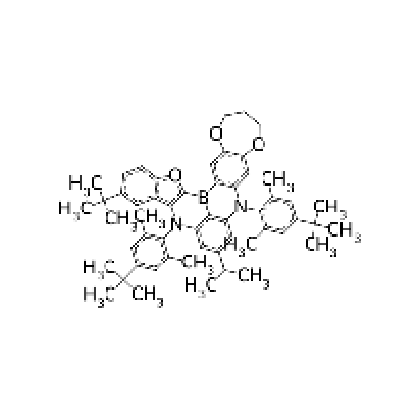 Cc1cc(C(C)(C)C)cc(C)c1N1c2cc3c(cc2B2c4oc5ccc(C(C)(C)C)cc5c4N(c4c(C)cc(C(C)(C)C)cc4C)c4cc(C(C)C)cc1c42)OCCCO3